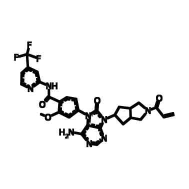 C=CC(=O)N1CC2CC(n3c(=O)n(-c4ccc(C(=O)Nc5cc(C(F)(F)F)ccn5)c(OC)c4)c4c(N)ncnc43)CC2C1